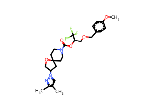 COc1ccc(COC[C@@H](OC(=O)N2CCC3(CC2)CC(n2cc(C)c(C)n2)CO3)C(F)(F)F)cc1